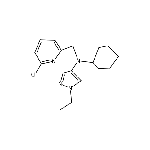 CCn1cc(N(Cc2cccc(Cl)n2)C2CCCCC2)cn1